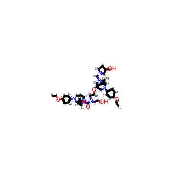 CCOc1ccc(N2CC3CN(C(=O)N(CCO)CCOC45CN(CN6CCC(O)C6)CC(N(c6ccc(OCC)cc6)C4)C(C)(C)C5)CC2C(C)(C)C3)cc1